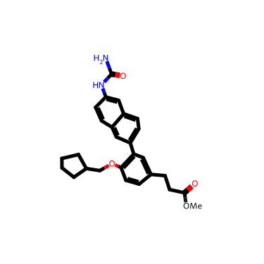 COC(=O)CCc1ccc(OCC2CCCC2)c(-c2ccc3cc(NC(N)=O)ccc3c2)c1